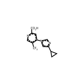 O=C(O)c1cc(-n2cnc(C3CC3)c2)c(C(F)(F)F)cn1